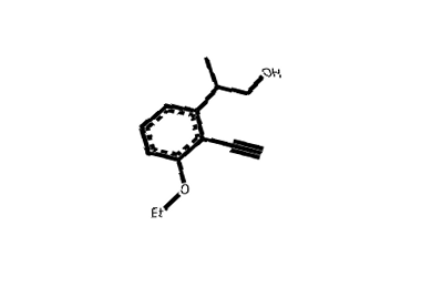 C#Cc1c(OCC)cccc1[C](C)CO